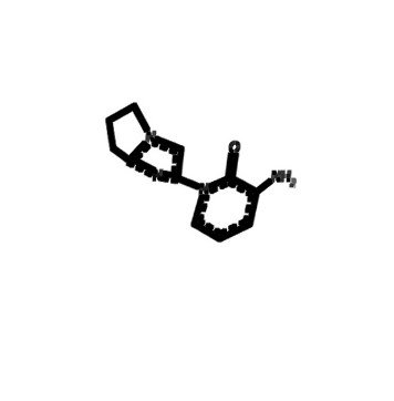 Nc1cccn(-c2cn3c(n2)CCC3)c1=O